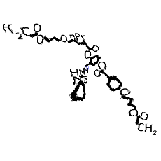 C=CC(=O)OCCCCOCCCC(CCC)C(=O)Oc1ccc(OC(=O)C2CCC(OCCCCOC(=O)C=C)CC2)cc1/C=N/Nc1nc2ccccc2s1